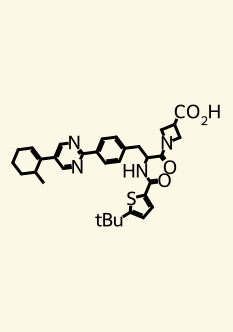 CC1CCCC=C1c1cnc(-c2ccc(CC(NC(=O)c3ccc(C(C)(C)C)s3)C(=O)N3CC(C(=O)O)C3)cc2)nc1